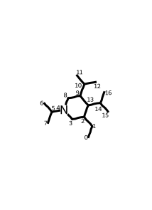 CCC1CN(C(C)C)CC(C(C)C)C1C(C)C